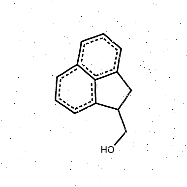 OCC1Cc2cccc3cccc1c23